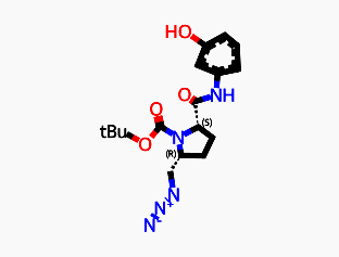 CC(C)(C)OC(=O)N1[C@@H](CN=[N+]=[N-])CC[C@H]1C(=O)Nc1cccc(O)c1